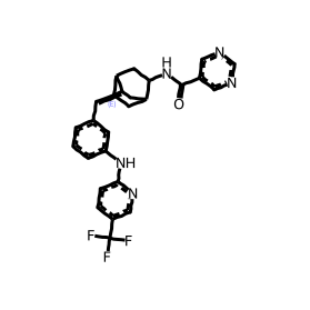 O=C(NC1CC2CCC1C/C2=C\c1cccc(Nc2ccc(C(F)(F)F)cn2)c1)c1cncnc1